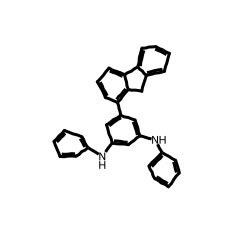 c1ccc(Nc2cc(Nc3ccccc3)cc(-c3cccc4c3Cc3ccccc3-4)c2)cc1